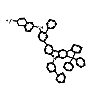 CC1C=Cc2cc(Nc3ccc(-c4ccc5c(c4)c4cc6c(cc4n5-c4cccc(-c5ccccc5)c4)C(c4ccccc4)(c4ccccc4)c4ccccc4-6)cc3-c3ccccc3)ccc2C1